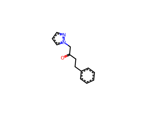 O=C(CCc1ccccc1)Cn1cccn1